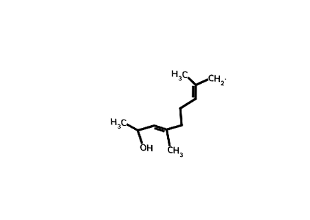 [CH2]C(C)=CCCC(C)=CC(C)O